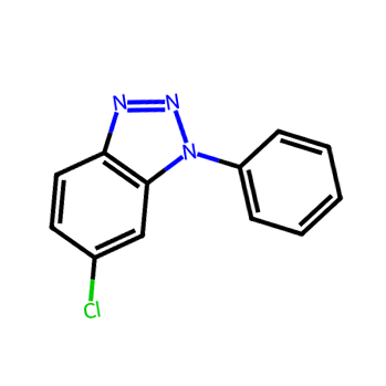 Clc1ccc2nnn(-c3ccccc3)c2c1